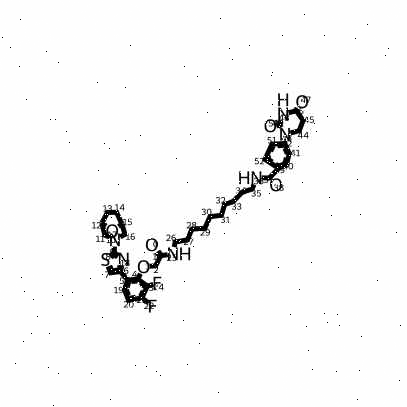 O=C(COc1c(-c2csc(N3CC4CCC(C3)O4)n2)ccc(F)c1F)NCCCCCCCCCCNC(=O)c1ccc(N2CCC(=O)NC2=O)cc1